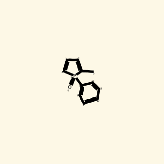 CC1=CC=CP1(=O)c1ccccc1